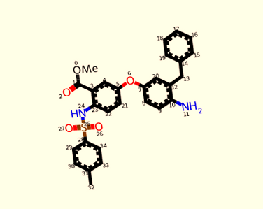 COC(=O)c1cc(Oc2ccc(N)c(Cc3ccccc3)c2)ccc1NS(=O)(=O)c1ccc(C)cc1